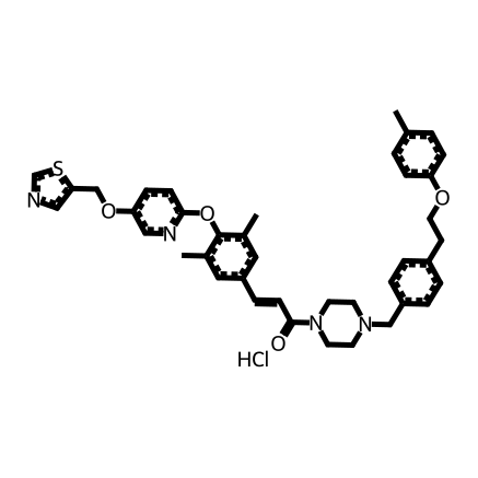 Cc1ccc(OCCc2ccc(CN3CCN(C(=O)C=Cc4cc(C)c(Oc5ccc(OCc6cncs6)cn5)c(C)c4)CC3)cc2)cc1.Cl